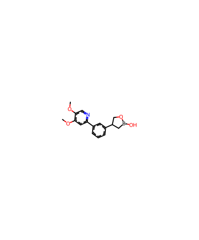 COc1cnc(-c2cccc(C3COB(O)C3)c2)cc1OC